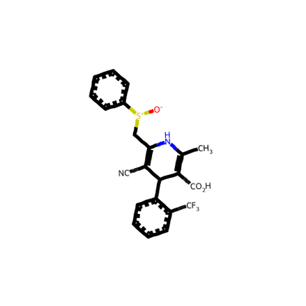 CC1=C(C(=O)O)C(c2ccccc2C(F)(F)F)C(C#N)=C(C[S+]([O-])c2ccccc2)N1